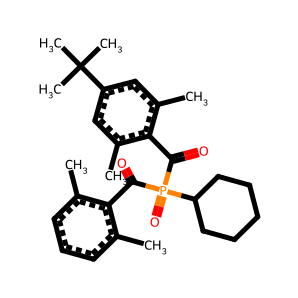 Cc1cccc(C)c1C(=O)P(=O)(C(=O)c1c(C)cc(C(C)(C)C)cc1C)C1CCCCC1